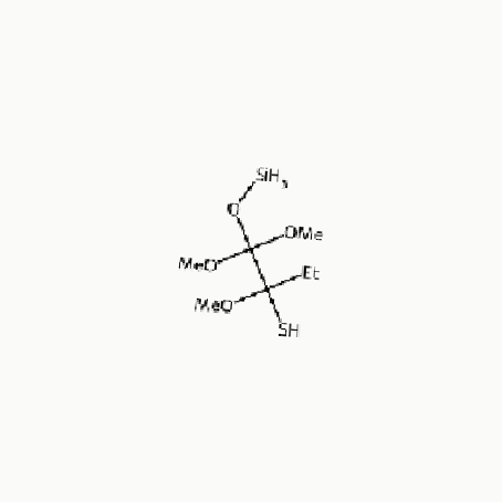 CCC(S)(OC)C(OC)(OC)O[SiH3]